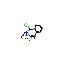 CCOC(=O)CN1C=Cc2ccccc2C1Cl